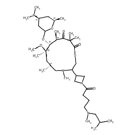 CO[C@]1(C)C[C@@H](C)CN(C)C(C2CN(C(=O)CCCN(C)CC(C)C)C2)COC(=O)C(C)(C)C(=O)[C@H](C)[C@H]1OC1C[C@@H](N(C)C)C[C@@H](C)O1